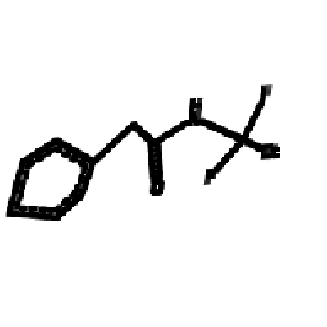 CCC(F)(F)NC(=O)Cc1ccccc1